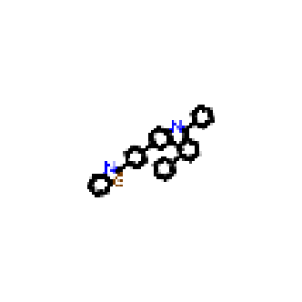 c1ccc(-c2nc3ccc(-c4ccc(-c5nc6ccccc6s5)cc4)cc3c3c(-c4ccccc4)cccc23)cc1